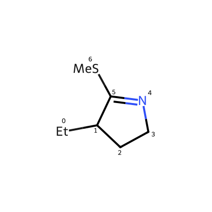 CCC1CCN=C1SC